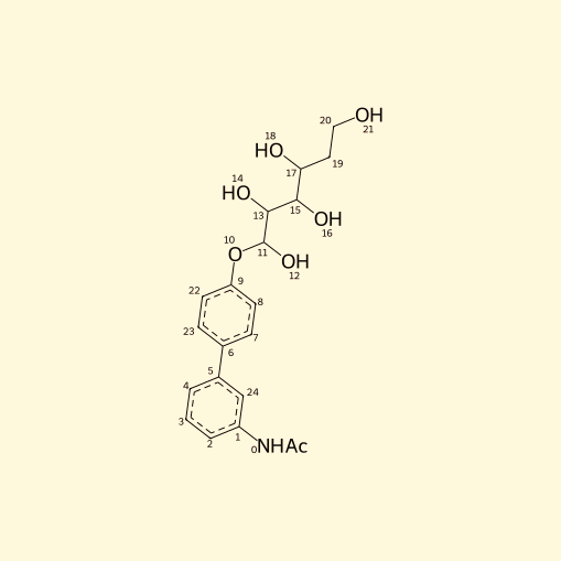 CC(=O)Nc1cccc(-c2ccc(OC(O)C(O)C(O)C(O)CCO)cc2)c1